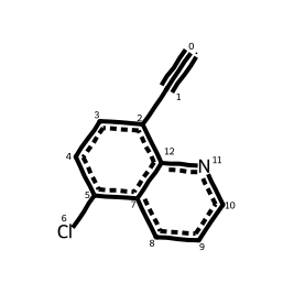 [C]#Cc1ccc(Cl)c2cccnc12